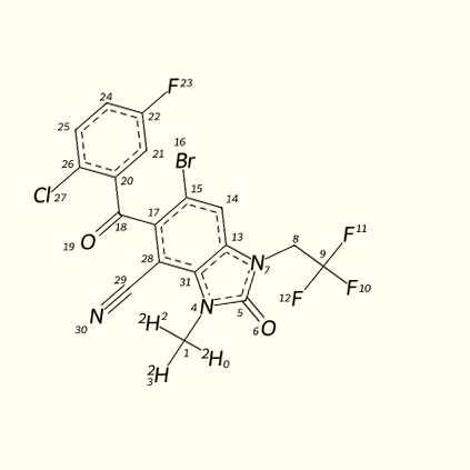 [2H]C([2H])([2H])n1c(=O)n(CC(F)(F)F)c2cc(Br)c(C(=O)c3cc(F)ccc3Cl)c(C#N)c21